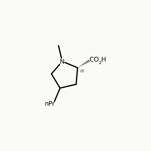 CCCC1C[C@@H](C(=O)O)N(C)C1